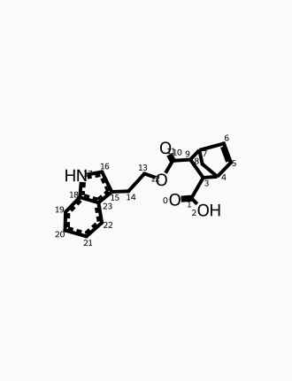 O=C(O)C1C2C=CC(C2)C1C(=O)OCCc1c[nH]c2ccccc12